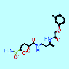 C=C(CCNC(=O)C1CCC([S+](N)[O-])OO1)NC(=O)COc1ccc(C)c(C)c1